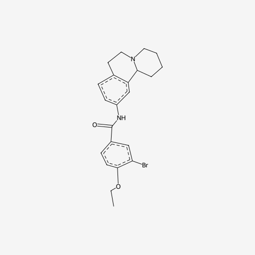 CCOc1ccc(C(=O)Nc2ccc3c(c2)C2CCCCN2CC3)cc1Br